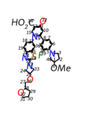 COC1CCN(c2ccc(-c3cc(=O)c(C(=O)O)cn3-c3ccc4nc(N5CC(OCC6CCCO6)C5)sc4c3)cc2F)C1